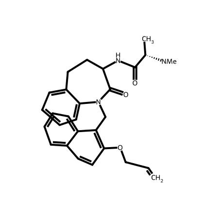 C=CCOc1ccc2ccccc2c1CN1C(=O)C(NC(=O)[C@H](C)NC)CCc2ccccc21